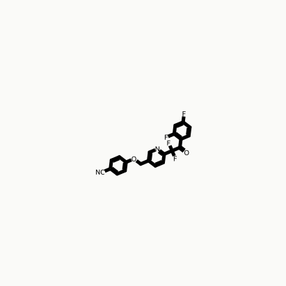 N#Cc1ccc(OCc2ccc(C(F)(F)C(=O)c3ccc(F)cc3F)nc2)cc1